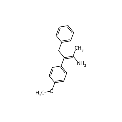 COc1ccc(/C(Cc2ccccc2)=C(/C)N)cc1